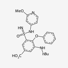 CCCCNc1cc(C(=O)O)cc(S(=N)(=O)Nc2ccnc(OC)c2)c1Oc1ccccc1